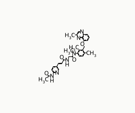 CC(=O)Nc1ccc(C=CC(=O)NCC(=O)N(C)c2ccc(C)c(COc3cccc4ncc(C)nc34)c2C)cn1